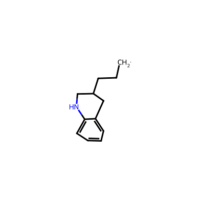 [CH2]CCC1CNc2ccccc2C1